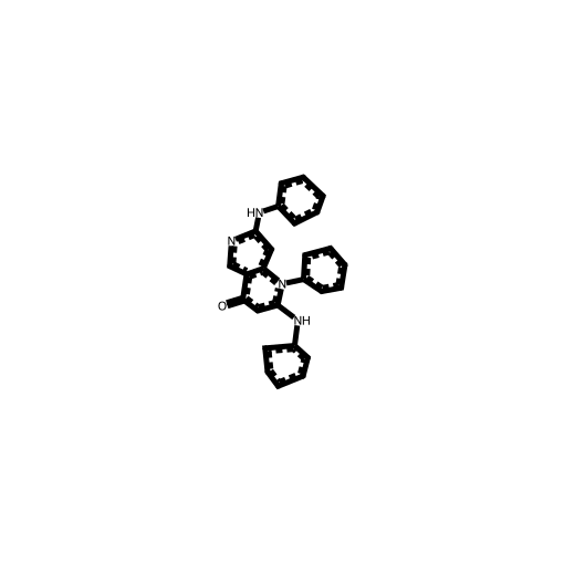 O=c1cc(Nc2ccccc2)n(-c2ccccc2)c2cc(Nc3ccccc3)ncc12